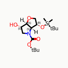 CC(C)(C)OC(=O)N1C[C@H](O)[C@H]2OC[C@H](O[Si](C)(C)C(C)(C)C)[C@H]21